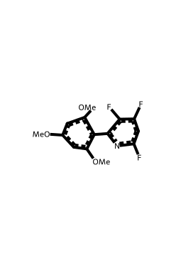 COc1cc(OC)c(-c2nc(F)cc(F)c2F)c(OC)c1